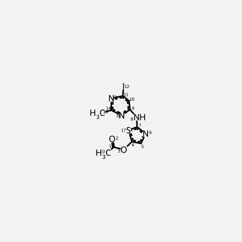 CC(=O)Oc1cnc(Nc2cc(I)nc(C)n2)s1